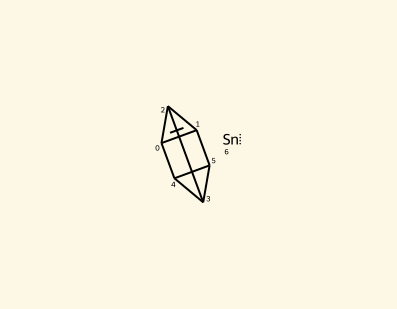 C12=C3C1C1C2C31.[Sn]